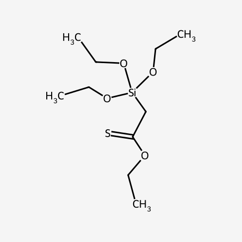 CCOC(=S)C[Si](OCC)(OCC)OCC